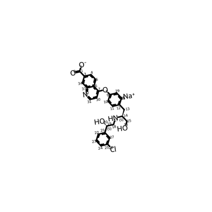 O=C([O-])c1ccc2c(Oc3ccc(C[C@@H](CO)NC[C@@H](O)c4cccc(Cl)c4)cc3)ccnc2c1.[Na+]